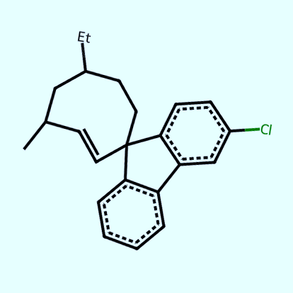 CCC1CCC2(/C=C/C(C)C1)c1ccccc1-c1cc(Cl)ccc12